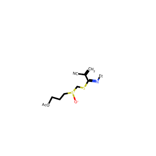 C=C(C#N)/C(=N\CC)SC[S+]([O-])CCCOC(C)=O